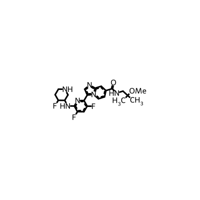 COC(C)(C)CNC(=O)c1ccn2c(-c3nc(NC4CNCCC4F)c(F)cc3F)cnc2c1